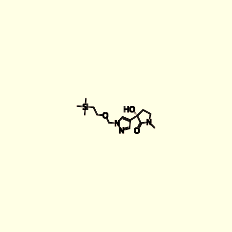 CN1CC[C@](O)(c2cnn(COCC[Si](C)(C)C)c2)C1=O